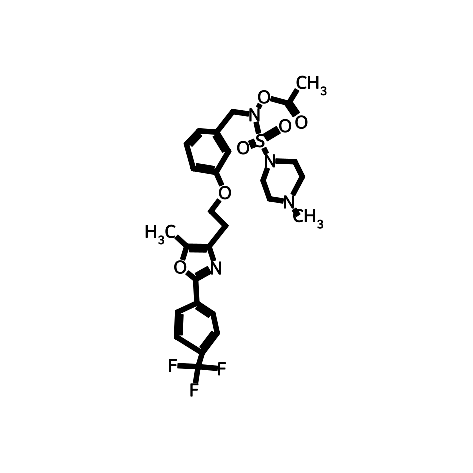 CC(=O)ON(Cc1cccc(OCCc2nc(-c3ccc(C(F)(F)F)cc3)oc2C)c1)S(=O)(=O)N1CCN(C)CC1